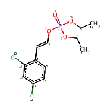 CCOP(=O)(OC=Cc1ccc(Cl)cc1Cl)OCC